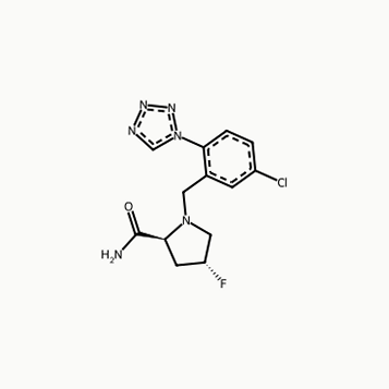 NC(=O)[C@@H]1C[C@@H](F)CN1Cc1cc(Cl)ccc1-n1cnnn1